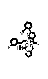 CNC(=O)N1CCC[C@@H]1CNC(=O)c1ccc(-c2ccccc2C#N)nc1NCCc1cccc(F)c1